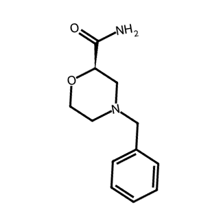 NC(=O)[C@H]1CN(Cc2ccccc2)CCO1